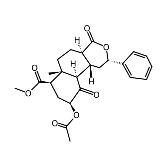 COC(=O)[C@@H]1C[C@H](OC(C)=O)C(=O)[C@@H]2[C@H]3C[C@@H](c4ccccc4)OC(=O)[C@@H]3CC[C@]21C